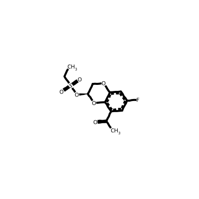 CCS(=O)(=O)O[C@H]1COc2cc(F)cc(C(C)=O)c2O1